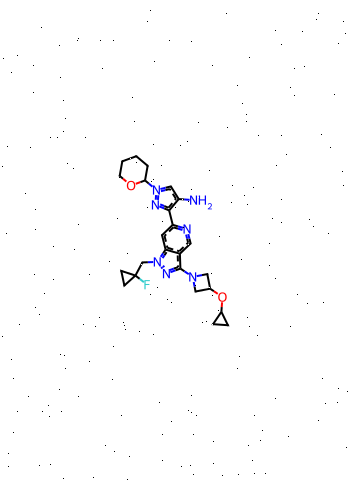 Nc1cn(C2CCCCO2)nc1-c1cc2c(cn1)c(N1CC(OC3CC3)C1)nn2CC1(F)CC1